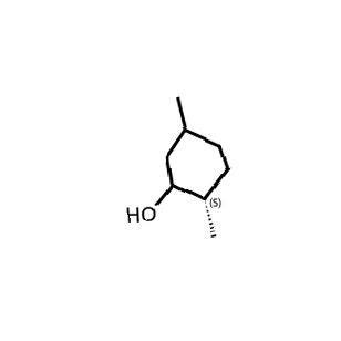 CC1CC[C@H](C)C(O)C1